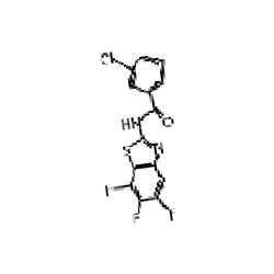 O=C(Nc1nc2cc(F)c(F)c(F)c2s1)c1cccc(Cl)c1